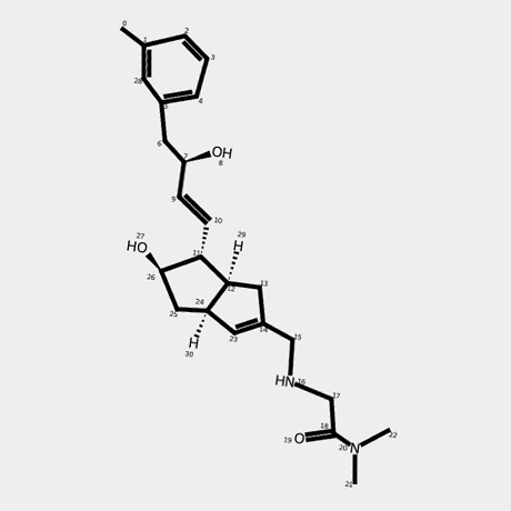 Cc1cccc(C[C@@H](O)/C=C/[C@@H]2[C@H]3CC(CNCC(=O)N(C)C)=C[C@H]3C[C@H]2O)c1